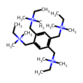 CC[N+](C)(C)Cc1cc(C[N+](C)(C)CC)c(C[N+](C)(C)CC)cc1C[N+](C)(C)CC